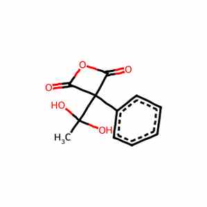 CC(O)(O)C1(c2ccccc2)C(=O)OC1=O